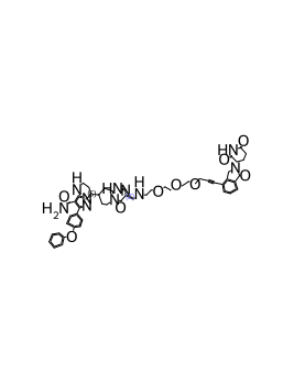 N=N/C(=C\NCCOCCOCCOCC#Cc1cccc2c1CN(C1CCC(=O)NC1=O)C2=O)C(=O)N1CCC([C@@H]2CCNc3c(C(N)=O)c(-c4ccc(Oc5ccccc5)cc4)nn32)CC1